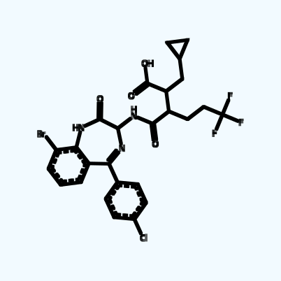 O=C1Nc2c(Br)cccc2C(c2ccc(Cl)cc2)=NC1NC(=O)C(CCC(F)(F)F)C(CC1CC1)C(=O)O